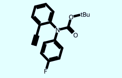 C#Cc1ccccc1N(C(=O)OC(C)(C)C)c1ccc(F)cc1